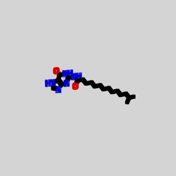 CC(C)CCCCCCCCCCCC(=O)Nc1nc2nc[nH]c2c(=O)[nH]1